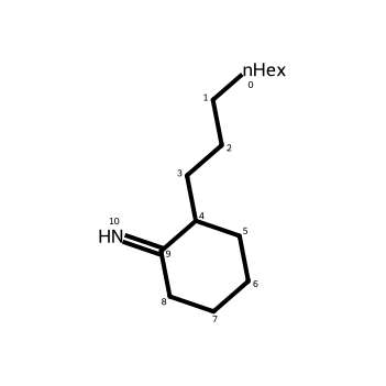 CCCCCCCCCC1CCCCC1=N